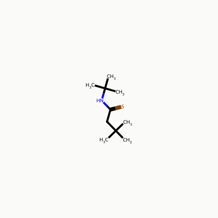 CC(C)(C)CC(=S)NC(C)(C)C